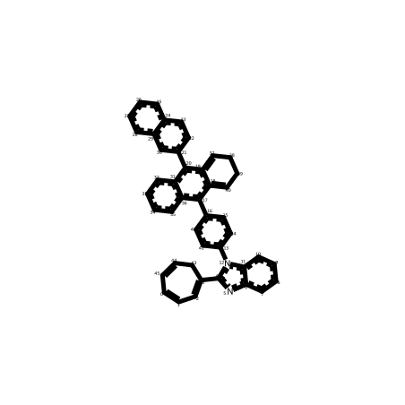 C1=CC=C(c2nc3ccccc3n2-c2ccc(-c3c4c(c(-c5ccc6ccccc6c5)c5ccccc35)=CCCC=4)cc2)CC=C1